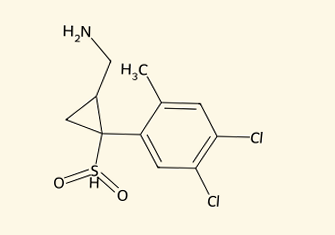 Cc1cc(Cl)c(Cl)cc1C1([SH](=O)=O)CC1CN